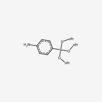 CCCO[Si](OCCC)(OCCC)c1ccc(N)cc1